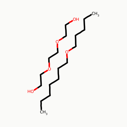 CCCCCCCOCCCCC.OCCOCCOCCO